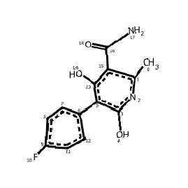 Cc1nc(O)c(-c2ccc(F)cc2)c(O)c1C(N)=O